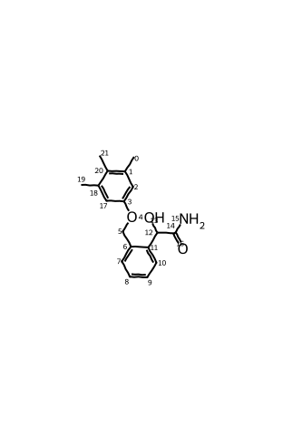 Cc1cc(OCc2ccccc2C(O)C(N)=O)cc(C)c1C